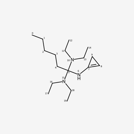 CCCCCC(NC1=CC1)(N(CC)CC)N(CC)CC